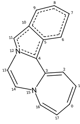 C1=CC=C2c3c4ccccc4cn3C=CN2C=C1